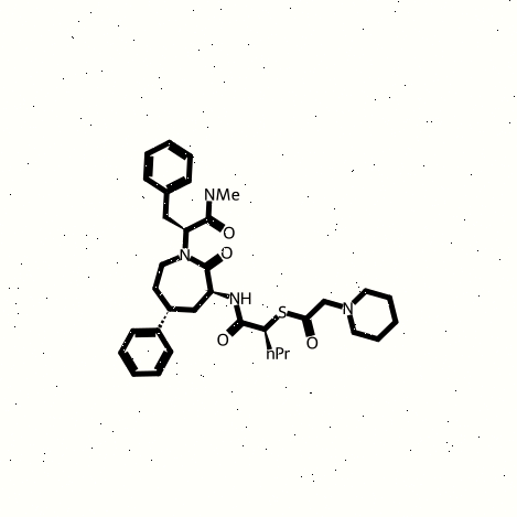 CCC[C@H](SC(=O)CN1CCCCC1)C(=O)N[C@H]1C[C@H](c2ccccc2)CCN([C@@H](Cc2ccccc2)C(=O)NC)C1=O